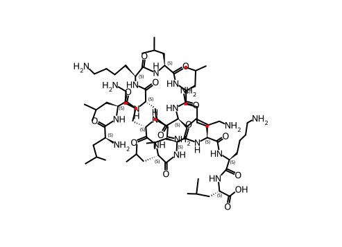 CC(C)C[C@H](NC(=O)[C@H](CCCCN)NC(=O)[C@H](CCCCN)NC(=O)[C@H](CC(C)C)NC(=O)[C@H](CC(C)C)NC(=O)[C@H](CCCCN)NC(=O)[C@H](CCCCN)NC(=O)[C@H](CC(C)C)NC(=O)[C@H](CC(C)C)NC(=O)[C@H](CCCCN)NC(=O)[C@H](CCCCN)NC(=O)[C@H](CC(C)C)NC(=O)[C@@H](N)CC(C)C)C(=O)O